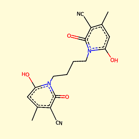 Cc1cc(O)n(CCCCn2c(O)cc(C)c(C#N)c2=O)c(=O)c1C#N